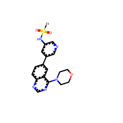 CCS(=O)(=O)Nc1cncc(-c2ccc3ncnc(N4CCOCC4)c3c2)c1